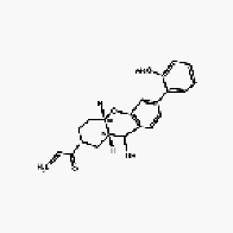 C=CC(=O)N1CC[C@@H]2Oc3cc(-c4ccccc4OC)ccc3C(O)[C@@H]2C1